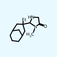 CCC1(C2NCC(=O)N2C)CC2CCCC(C2)C1